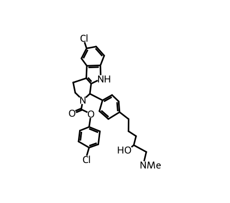 CNCC(O)CCCc1ccc(C2c3[nH]c4ccc(Cl)cc4c3CCN2C(=O)Oc2ccc(Cl)cc2)cc1